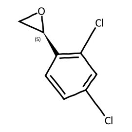 Clc1ccc([C@H]2CO2)c(Cl)c1